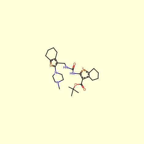 CN1CCN(c2sc3c(c2CNC(=O)Nc2sc4c(c2C(=O)OC(C)(C)C)CCCC4)CCCC3)CC1